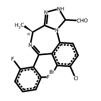 C[C@@H]1N=C(c2c(F)cccc2F)c2c(ccc(Cl)c2Br)N2C1=NNC2C=O